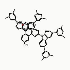 Cc1cc(C)cc(-c2ccc3c(c2)c2cc(-c4cc(C)cc(C)c4)ccc2n3-c2ccc(-c3ccc(C(F)(F)F)cc3C(F)(F)F)c(-c3cc(C#N)ccc3-n3c4ccc(-c5cc(C)cc(C)c5)cc4c4cc(-c5cc(C)cc(C)c5)ccc43)c2)c1